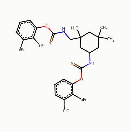 CCCc1cccc(OC(=S)NCC2(C)CC(NC(=S)Oc3cccc(CCC)c3CCC)CC(C)(C)C2)c1CCC